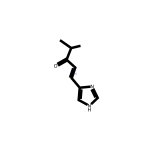 CC(C)C(=O)/C=C/c1c[nH]cn1